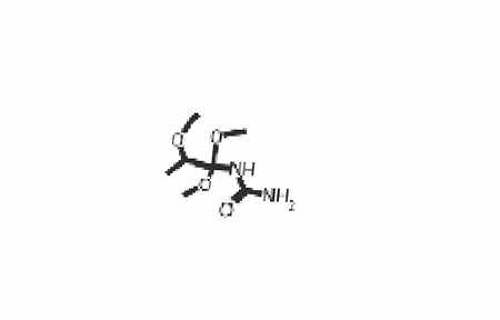 COC(C)C(NC(N)=O)(OC)OC